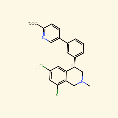 CN1Cc2c(Cl)cc(Cl)cc2[C@H](c2cccc(-c3ccc(C(=O)[O-])nc3)c2)C1.[Li+]